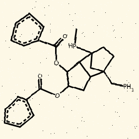 CPC12CCC(CP)(C1)C1CC(OC(=O)c3ccccc3)C(OC(=O)c3ccccc3)C12